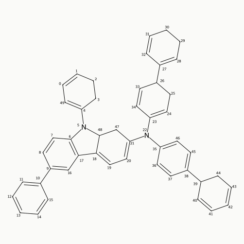 C1=CCCC(N2c3ccc(-c4ccccc4)cc3C3=CC=C(N(C4=CCC(C5=CCCC=C5)C=C4)c4ccc(C5C=CC=CC5)cc4)CC32)=C1